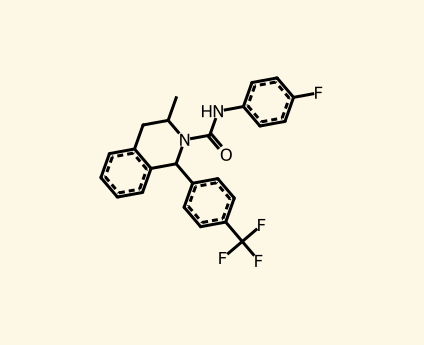 CC1Cc2ccccc2C(c2ccc(C(F)(F)F)cc2)N1C(=O)Nc1ccc(F)cc1